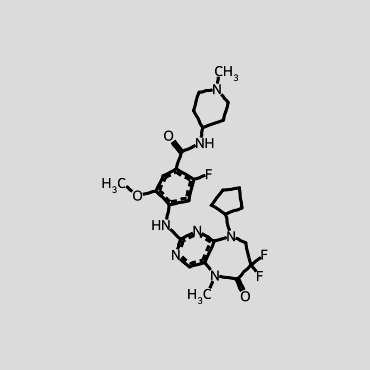 COc1cc(C(=O)NC2CCN(C)CC2)c(F)cc1Nc1ncc2c(n1)N(C1CCCC1)CC(F)(F)C(=O)N2C